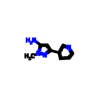 Cn1nc(-c2cccnc2)cc1N